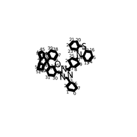 c1ccc(-c2nc(-c3ccc(N4c5ccccc5Sc5ccccc54)cc3)nc(-c3cccc4c3Oc3ccccc3C43c4ccccc4-c4ccccc43)n2)cc1